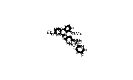 CCOc1cccc(-c2nc3nnc(NS(=O)(=O)c4ccc(F)cn4)cc3n2-c2c(OC)cccc2OC)n1